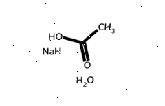 CC(=O)O.O.[NaH]